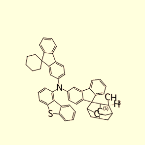 C[C@H]1C2CCC3CC(C2)CC1C31c2ccccc2-c2cc(N(c3ccc4c(c3)C3(CCCCC3)c3ccccc3-4)c3cccc4sc5ccccc5c34)ccc21